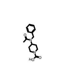 CC(=O)N(Cc1ccccc1)C1CCN(C(=O)O)CC1